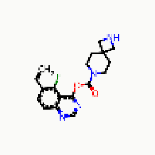 C=Cc1ccc2ncnc(OC(=O)N3CCC4(CC3)CNC4)c2c1F